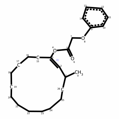 CC1/C=C(/OC(=O)COc2ccccc2)CCCCCCCCCCCC1